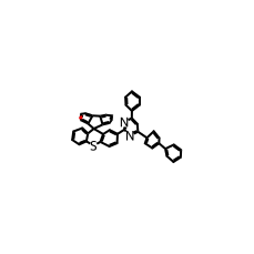 c1ccc(-c2ccc(-c3cc(-c4ccccc4)nc(-c4ccc5c(c4)C4(c6ccccc6S5)c5ccccc5-c5ccccc54)n3)cc2)cc1